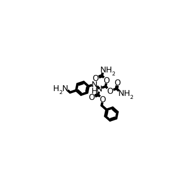 NCc1ccc(NN(C(=O)OCc2ccccc2)C(OC(N)=O)OC(N)=O)cc1